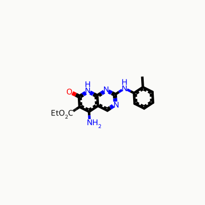 CCOC(=O)c1c(N)c2cnc(Nc3ccccc3C)nc2[nH]c1=O